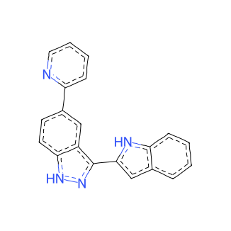 c1ccc(-c2ccc3[nH]nc(-c4cc5ccccc5[nH]4)c3c2)nc1